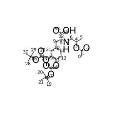 CC(=O)OC(C)CN[C@@H](Cc1ccc(OC(=O)OC(C)(C)C)c(OC(=O)OC(C)(C)C)c1)C(=O)O